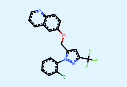 FC(F)(F)c1cc(COc2ccc3ncccc3c2)n(-c2ccccc2Cl)n1